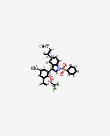 C=C(C)c1cc(C(C)(C)C)cc(-c2cn(S(=O)(=O)c3ccccc3)c3ccc(/C(C)=C/C=O)cc23)c1OCC(F)F